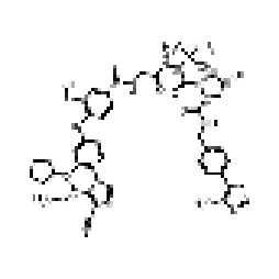 CC[C@@H]1c2c(C#N)ncn2-c2cnc(Nc3ccc(C(=O)NCC(=O)N[C@H](C(=O)N4C[C@H](O)C[C@H]4C(=O)NCc4ccc(-c5scnc5C)cc4)C(C)(C)C)cc3OC)nc2N1C1CCCC1